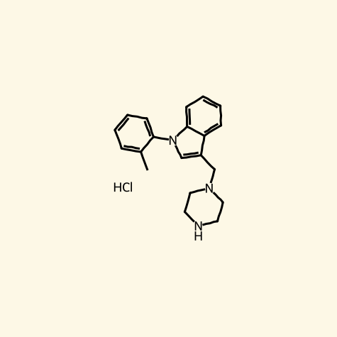 Cc1ccccc1-n1cc(CN2CCNCC2)c2ccccc21.Cl